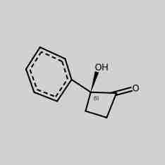 O=C1CC[C@]1(O)c1ccccc1